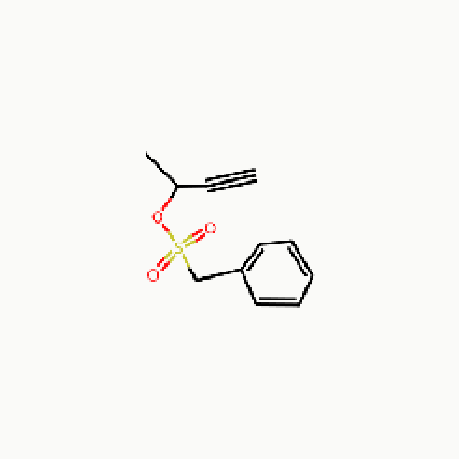 C#CC(C)OS(=O)(=O)Cc1ccccc1